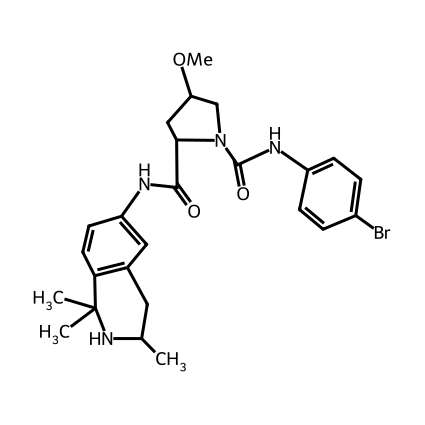 COC1CC(C(=O)Nc2ccc3c(c2)CC(C)NC3(C)C)N(C(=O)Nc2ccc(Br)cc2)C1